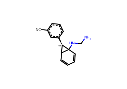 N#Cc1cccc([C@@H]2C3C=CC=CC32NCN)c1